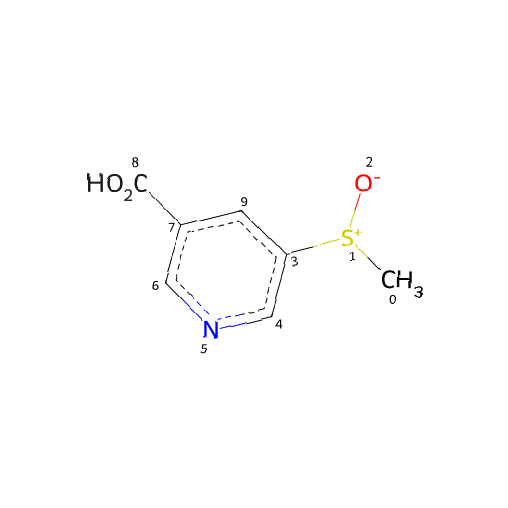 C[S+]([O-])c1cncc(C(=O)O)c1